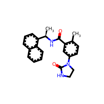 Cc1ccc(N2CCNC2=O)cc1C(=O)N[C@H](C)c1cccc2ccccc12